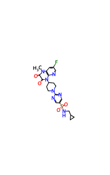 Cn1c(=O)c(=O)n(C2CCN(c3ncc(S(=O)(=O)NCC4CC4)cn3)CC2)c2ncc(F)cc21